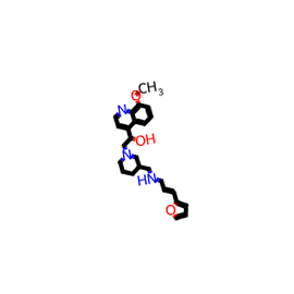 COc1cccc2c(C(O)CN3CCCC(CNCC=Cc4ccco4)C3)ccnc12